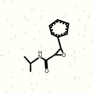 CC(C)NC(=O)C1OC1c1ccccc1